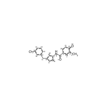 Cn1nc(C(=O)Nc2ncc(Cc3cccc(Cl)c3)s2)ccc1=O